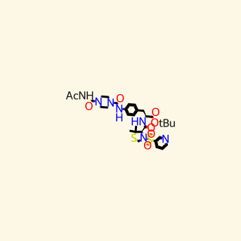 CC(=O)NC(=O)N1CCN(C(=O)Nc2ccc(C[C@H](NC(=O)[C@H]3N(S(=O)(=O)c4cccnc4)CSC3(C)C)C(=O)OC(C)(C)C)cc2)CC1